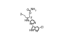 NC(=O)OCC[C@H](CCC1CC1)Nc1nc(-c2c[nH]c3ncc(Cl)cc23)ncc1F